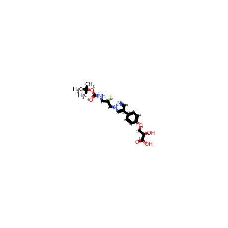 CC(C)(C)OC(=O)NCC(F)Cn1cc(-c2ccc(OCC(O)C(=O)O)cc2)cn1